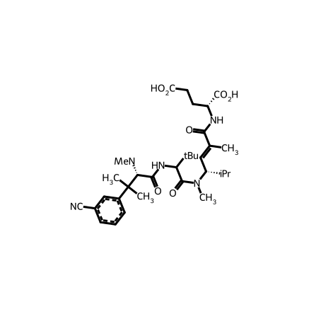 CN[C@H](C(=O)NC(C(=O)N(C)[C@H](/C=C(\C)C(=O)N[C@H](CCC(=O)O)C(=O)O)C(C)C)C(C)(C)C)C(C)(C)c1cccc(C#N)c1